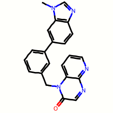 Cn1cnc2ccc(-c3cccc(Cn4c(=O)cnc5ncccc54)c3)cc21